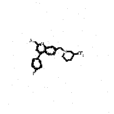 CC(=O)c1cc(-c2ccc(F)cc2)c2ccc(CN3CCCC(C(F)(F)F)C3)cc2n1